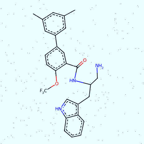 Cc1cc(C)cc(-c2ccc(OC(F)(F)F)c(C(=O)NC(CN)Cc3c[nH]c4ccccc34)c2)c1